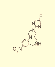 O=[N+]([O-])c1ccc2c(c1)CNCC1CN(c3ncc(F)cn3)CCN21